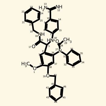 COc1cc(C(Nc2ccc(C(=N)N)cc2)C(=O)NCc2ccccc2)c(N(C(C)=O)c2ccccc2)cc1OCc1ccccc1